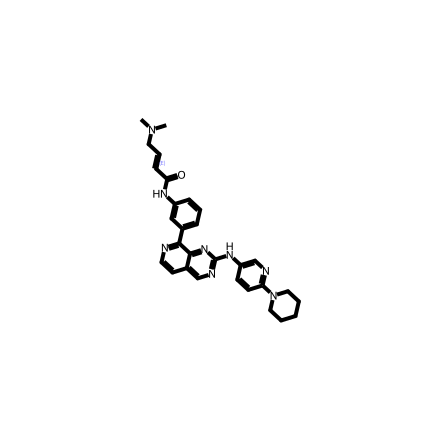 CN(C)C/C=C/C(=O)Nc1cccc(-c2nccc3cnc(Nc4ccc(N5CCCCC5)nc4)nc23)c1